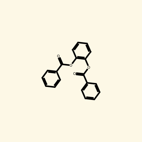 O=C(Oc1[c]cc[c]c1OC(=O)c1ccccc1)c1ccccc1